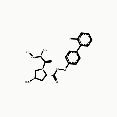 CC(C)N[C@H](C(=O)N1C[C@H](C)C[C@H]1C(=O)NOc1ccc(-c2ccccc2F)cc1)C(C)(C)C